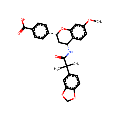 COc1ccc2c(c1)O[C@@H](c1ccc(C(=O)O)cc1)C[C@H]2NC(=O)C(C)(C)c1ccc2c(c1)OCO2